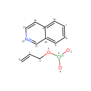 C=CCO[Cl+2]([O-])[O-].c1ccc2cnccc2c1